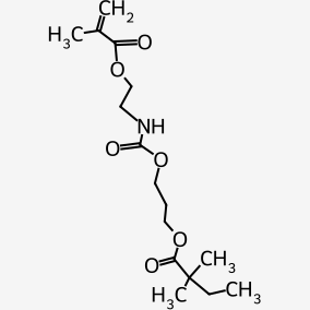 C=C(C)C(=O)OCCNC(=O)OCCCOC(=O)C(C)(C)CC